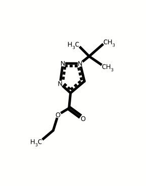 CCOC(=O)c1cn(C(C)(C)C)nn1